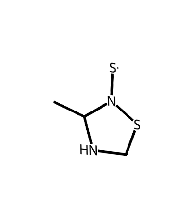 CC1NCSN1[S]